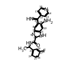 CC(NC(=O)c1nc2cc(C(=N)c3ccncc3)c(N)cc2[nH]1)c1cccc(F)c1